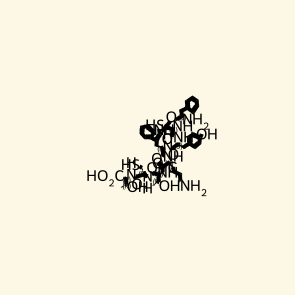 C[C@@H](O)[C@H](NC(=O)[C@H](CS)NC(=O)[C@@H](NC(=O)[C@H](CCCCN)NC(=O)[C@@H](Cc1c[nH]c2ccccc12)NC(=O)[C@H](Cc1ccc(O)cc1)NC(=O)[C@@H](NC(=O)[C@@H](N)Cc1ccccc1)C(C)(C)S)[C@@H](C)O)C(=O)O